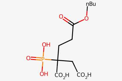 CCCCOC(=O)CCC(CC(=O)O)(C(=O)O)P(=O)(O)O